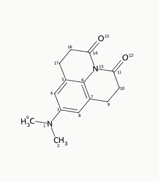 CN(C)c1cc2c3c(c1)CCC(=O)N3C(=O)CC2